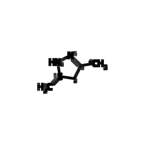 C=S1CC(C)=NN1